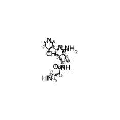 Cc1ccncc1-c1cc2cc(NC(=O)C=C3CNC3)ncc2c(N)n1